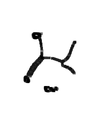 CC(C)C(=O)[O-].[Cs+]